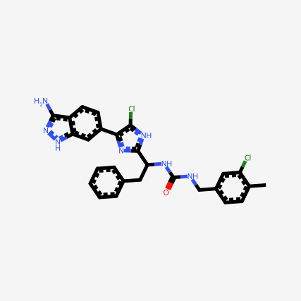 Cc1ccc(CNC(=O)NC(Cc2ccccc2)c2nc(-c3ccc4c(N)n[nH]c4c3)c(Cl)[nH]2)cc1Cl